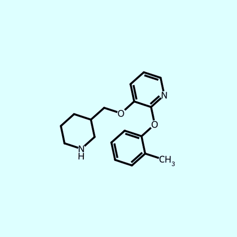 Cc1ccccc1Oc1ncccc1OCC1CCCNC1